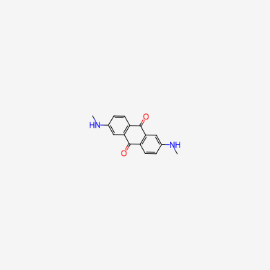 CNc1ccc2c(c1)C(=O)c1ccc(NC)cc1C2=O